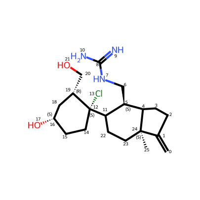 C=C1CCC2[C@H](CNC(=N)N)C([C@@]3(Cl)CC[C@H](O)C[C@@H]3CO)CC[C@]12C